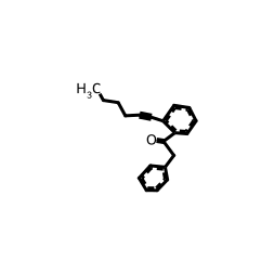 CCCCC#Cc1ccccc1C(=O)Cc1ccccc1